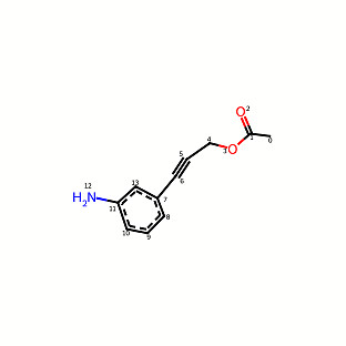 CC(=O)OCC#Cc1cccc(N)c1